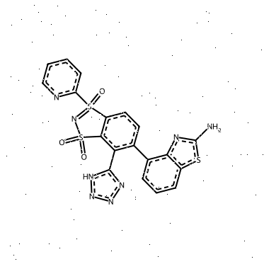 Nc1nc2c(-c3ccc4c(c3-c3nnn[nH]3)S(=O)(=O)N=S4(=O)c3ccccn3)cccc2s1